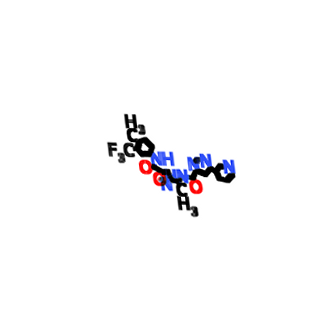 Cc1ccc(NC(=O)c2cc(C(C)NC(=O)c3cc(-c4cccnc4)ncn3)no2)cc1C(F)(F)F